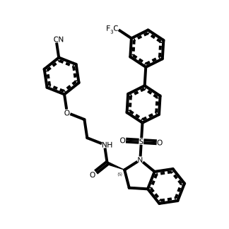 N#Cc1ccc(OCCNC(=O)[C@@H]2Cc3ccccc3N2S(=O)(=O)c2ccc(-c3cccc(C(F)(F)F)c3)cc2)cc1